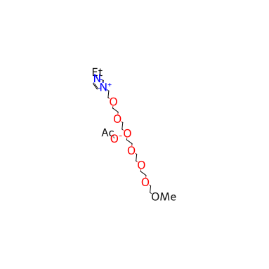 CC(=O)[O-].CCn1cc[n+](CCOCCOCCOCCOCCOCCOCCOC)c1